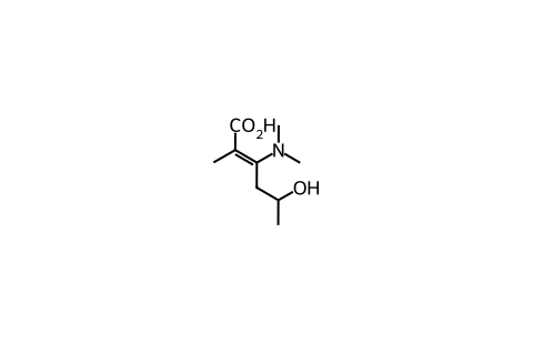 CC(C(=O)O)=C(CC(C)O)N(C)C